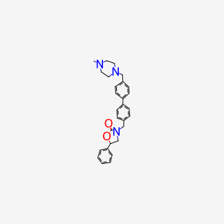 CN1CCN(Cc2ccc(-c3ccc(CN4CC(c5ccccc5)OC4=O)cc3)cc2)CC1